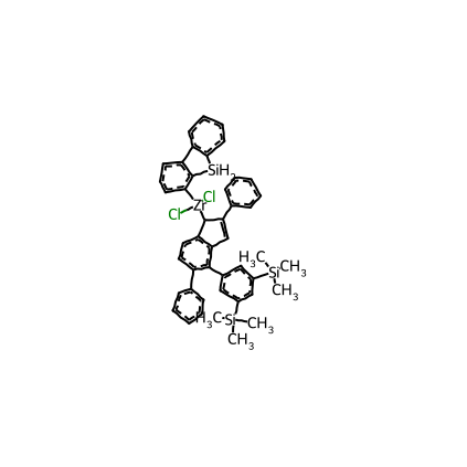 C[Si](C)(C)c1cc(-c2c(-c3ccccc3)ccc3c2C=C(c2ccccc2)[CH]3[Zr]([Cl])([Cl])[c]2cccc3c2[SiH2]c2ccccc2-3)cc([Si](C)(C)C)c1